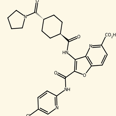 O=C(O)c1ccc2oc(C(=O)Nc3ccc(Cl)cn3)c(NC(=O)[C@H]3CC[C@H](C(=O)N4CCCC4)CC3)c2n1